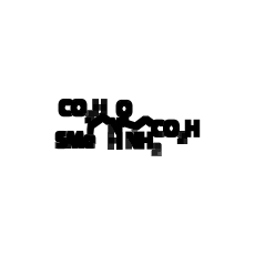 CSC[C@H](NC(=O)[C@@H](N)CC(=O)O)C(=O)O